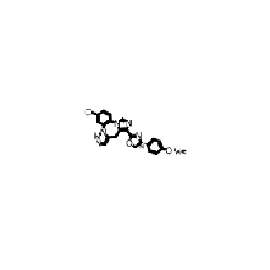 COc1ccc([C@@H]2COC(c3ncn4c3Cc3cnnn3-c3cc(Cl)ccc3-4)=N2)cc1